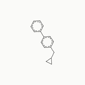 c1ccc(-c2ccc(CC3CC3)cc2)cc1